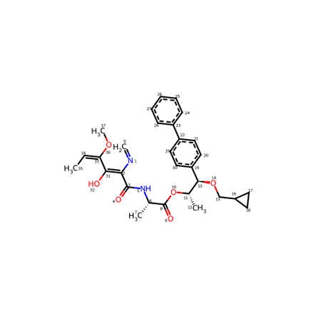 C=N/C(C(=O)N[C@@H](C)C(=O)O[C@@H](C)[C@H](OCC1CC1)c1ccc(-c2ccccc2)cc1)=C(O)\C(=C/C)OC